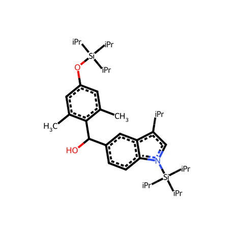 Cc1cc(O[Si](C(C)C)(C(C)C)C(C)C)cc(C)c1C(O)c1ccc2c(c1)c(C(C)C)cn2[Si](C(C)C)(C(C)C)C(C)C